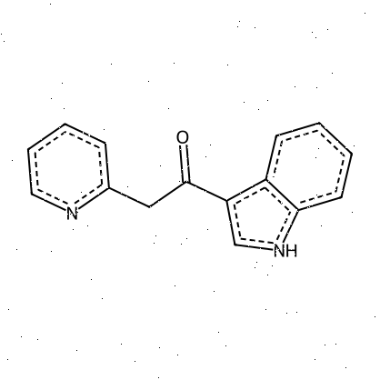 O=C(Cc1ccccn1)c1c[nH]c2ccccc12